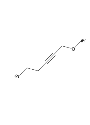 CC(C)CCC#CCOC(C)C